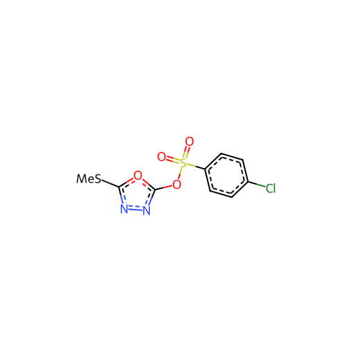 CSc1nnc(OS(=O)(=O)c2ccc(Cl)cc2)o1